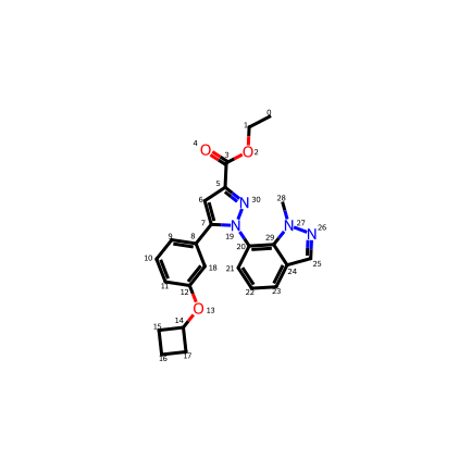 CCOC(=O)c1cc(-c2cccc(OC3CCC3)c2)n(-c2cccc3cnn(C)c23)n1